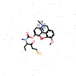 CCC(C(=O)CCP)N(C)C(=O)OC1=CC[C@H]2[C@H]3Cc4ccc(OC)c5c4[C@@]2(CCN3C)[C@H]1O5